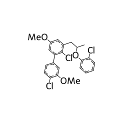 COc1cc(CC(C)Oc2ccccc2Cl)c(Cl)c(-c2ccc(Cl)c(OC)c2)c1